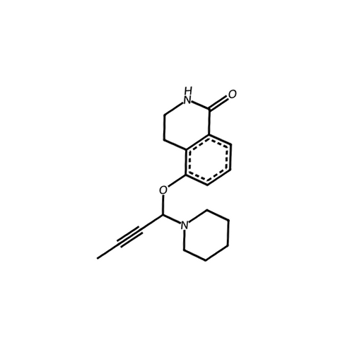 CC#CC(Oc1cccc2c1CCNC2=O)N1CCCCC1